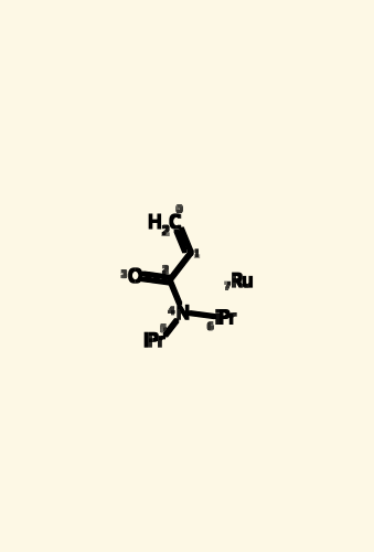 C=CC(=O)N(C(C)C)C(C)C.[Ru]